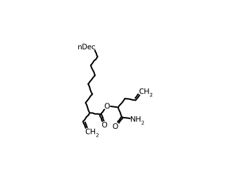 C=CCC(OC(=O)C(C=C)CCCCCCCCCCCCCCCC)C(N)=O